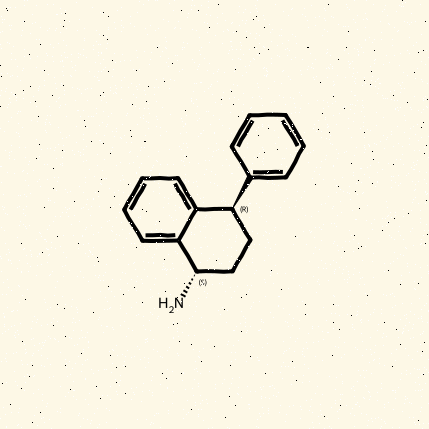 N[C@H]1CC[C@H](c2ccccc2)c2ccccc21